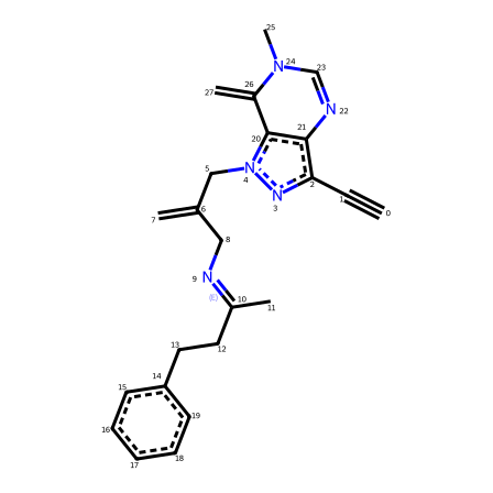 C#Cc1nn(CC(=C)C/N=C(\C)CCc2ccccc2)c2c1N=CN(C)C2=C